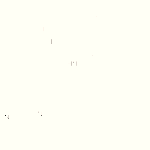 CC(C)(NCCCn1ccnc1)c1ccccc1Cl.Cl.Cl